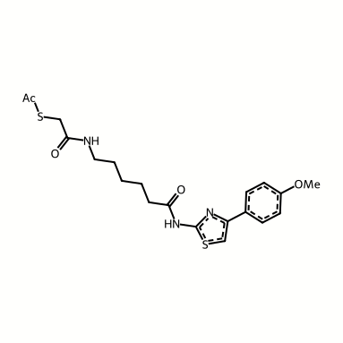 COc1ccc(-c2csc(NC(=O)CCCCCNC(=O)CSC(C)=O)n2)cc1